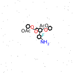 CC(=O)Oc1ccccc1OCc1cc(-c2cccc(CN)c2F)c2oc(COc3ccccc3OC(C)=O)cc2c1